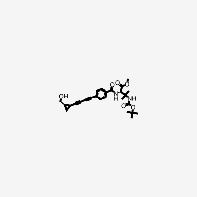 COC(=O)[C@@H](NC(=O)c1ccc(C#CC#CC2C[C@H]2CO)cc1)C(C)(C)NC(=O)OC(C)(C)C